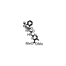 COC(OC)c1nc(NC(=O)NS(=O)(=O)c2ccccc2S(C)(=O)=O)ncc1C